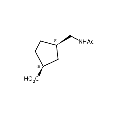 CC(=O)NC[C@@H]1CC[C@H](C(=O)O)C1